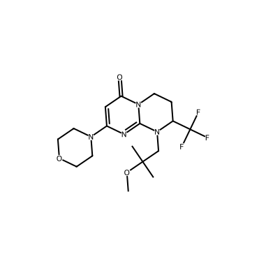 COC(C)(C)CN1c2nc(N3CCOCC3)cc(=O)n2CCC1C(F)(F)F